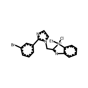 CC[N+]1(Cl)C(Cn2ccnc2-c2cccc(Br)c2)=Nc2ccccc21